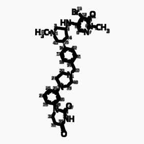 CN1C[C@H](Nc2cnn(C)c(=O)c2Br)C[C@H](c2ccc(CN3CCN(c4cccc(N5CCC(=O)NC5=O)c4)CC3)cc2)C1